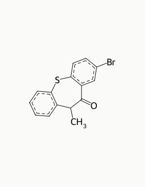 CC1C(=O)c2cc(Br)ccc2Sc2ccccc21